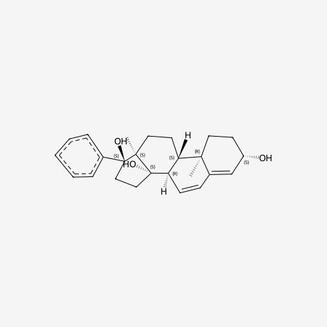 C[C@]12CC[C@H]3[C@@H](C=CC4=C[C@@H](O)CC[C@@]43C)[C@@]1(O)CC[C@]2(O)c1ccccc1